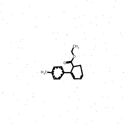 CCOC(=O)C1CC=CC=C1c1ccc(C)cc1